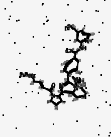 CCCc1ccnc(NC(=O)c2ccc(C3=NC(C4CCCN4C(=O)/C=C/COC)=C4C=NC=C[N+]34N)cc2)c1